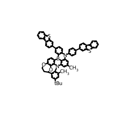 Cc1cc2c3c(c1)N1c4c(C)cc(C(C)(C)C)cc4C4CCOc5ccc(c1c5O4)B3c1cc(-c3ccc4c(c3)sc3ccccc34)ccc1N2c1ccc(-c2ccc3c(c2)sc2ccccc23)cc1